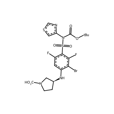 CC(C)(C)OC(=O)N(c1cscn1)S(=O)(=O)c1c(F)cc(N[C@H]2CCN(C(=O)O)C2)c(Br)c1F